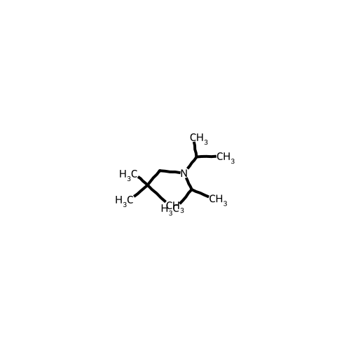 CC(C)N(CC(C)(C)C)C(C)C